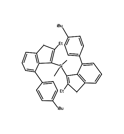 CCC1=C([Si](C)(C)C2=C(CC)[CH]c3cccc(-c4ccc(C(C)CC)cc4)c32)c2c(cccc2-c2ccc(C(C)CC)cc2)[CH]1